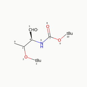 CC(OC(C)(C)C)[C@@H]([C]=O)NC(=O)OC(C)(C)C